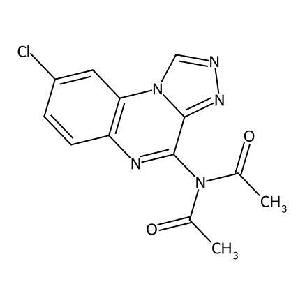 CC(=O)N(C(C)=O)c1nc2ccc(Cl)cc2n2cnnc12